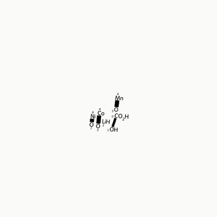 O=C(O)O.[LiH].[O]=[Co].[O]=[Mn].[O]=[Ni]